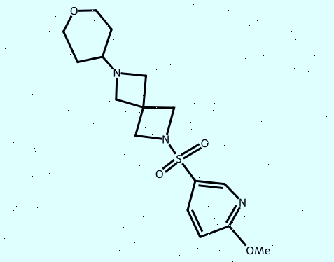 COc1ccc(S(=O)(=O)N2CC3(CN(C4CCOCC4)C3)C2)cn1